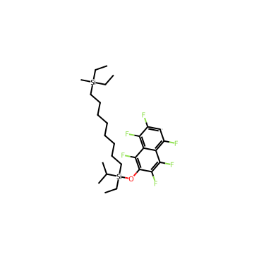 CC[Si](C)(CC)CCCCCCCC[Si](CC)(Oc1c(F)c(F)c2c(F)[c]c(F)c(F)c2c1F)C(C)C